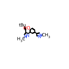 Cn1cc(-c2ccc(O)c(-c3nn(C)cc3C#CC(C)(C)C)c2)cn1